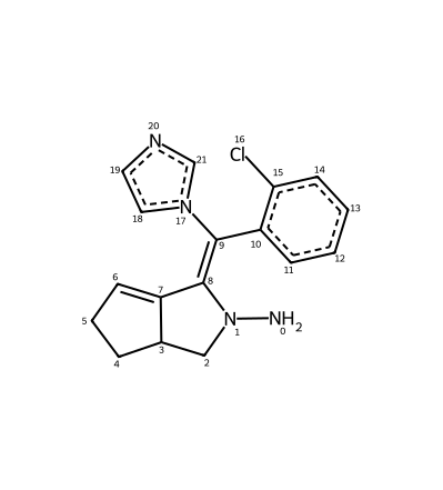 NN1CC2CCC=C2C1=C(c1ccccc1Cl)n1ccnc1